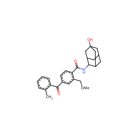 COCc1cc(C(=O)c2ccccc2C)ccc1C(=O)NC1C2CC3CC1CC(O)(C3)C2